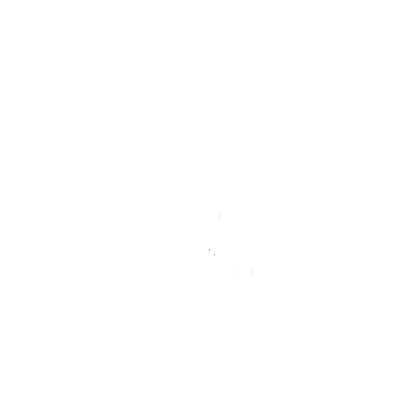 CN(C)C=O.c1ccc(-c2ccccc2)cc1